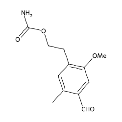 COc1cc(C=O)c(C)cc1CCOC(N)=O